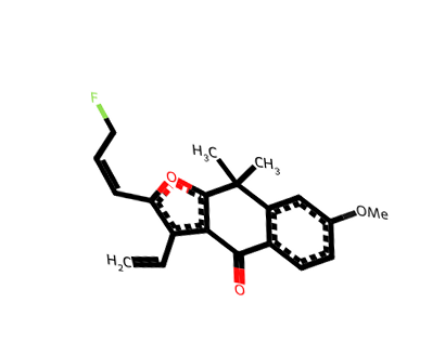 C=Cc1c(/C=C\CF)oc2c1C(=O)c1ccc(OC)cc1C2(C)C